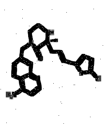 C[C@@]1(CC=Cc2ccc(Cl)s2)NCCN(Cc2ccc3c(N)ccnc3c2)C1=O